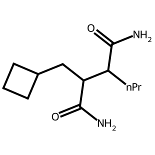 CCCC(C(N)=O)C(CC1CCC1)C(N)=O